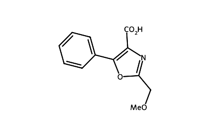 COCc1nc(C(=O)O)c(-c2ccccc2)o1